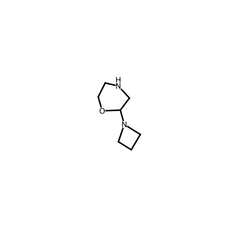 C1CN(C2CNCCO2)C1